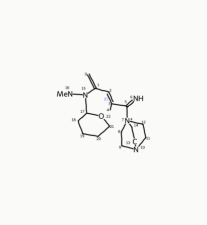 C=C(/C=C(\C)C(=N)[N+]12CCN(CC1)CC2)N(NC)C1CCCCO1